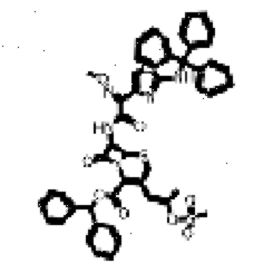 CON=C(C(=O)NC1C(=O)N2C(C(=O)OC(c3ccccc3)c3ccccc3)=C(C=C(C)OS(C)(=O)=O)CSC12)c1csc(NC(c2ccccc2)(c2ccccc2)c2ccccc2)n1